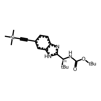 CC(C)(C)OC(=O)N[C@H](c1nc2ccc(C#C[Si](C)(C)C)cc2[nH]1)C(C)(C)C